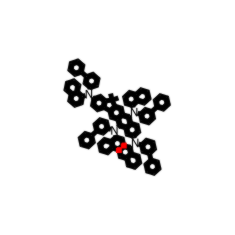 CC1(C)c2cc(N(c3cccc(-c4ccccc4)c3)c3cccc4ccccc34)ccc2-c2cc3c(N(c4cccc(-c5ccccc5)c4)c4cccc5ccccc45)c4cc(N(c5cccc(-c6ccccc6)c5)c5cccc6ccccc56)ccc4c(N(c4cccc(-c5ccccc5)c4)c4cccc5ccccc45)c3cc21